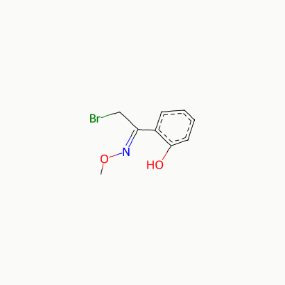 CON=C(CBr)c1ccccc1O